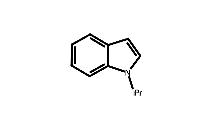 [CH2]C(C)n1ccc2ccccc21